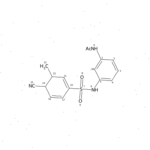 CC(=O)Nc1cccc(NS(=O)(=O)C2=CC(C)C(C#N)C=C2)c1